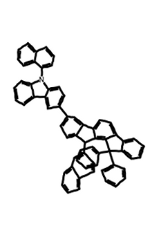 c1ccc(C2(c3ccccc3)c3ccccc3-c3ccc4c(c32)C(c2ccc3ccccc3c2)c2ccc(-c3ccc5c(c3)c3ccccc3n5-c3cccc5ccccc35)cc2-4)cc1